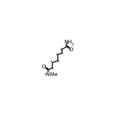 CNC(=O)C[CH]CCCCC(N)=O